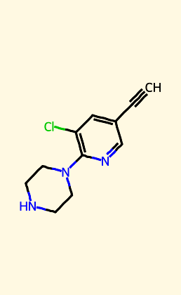 C#Cc1cnc(N2CCNCC2)c(Cl)c1